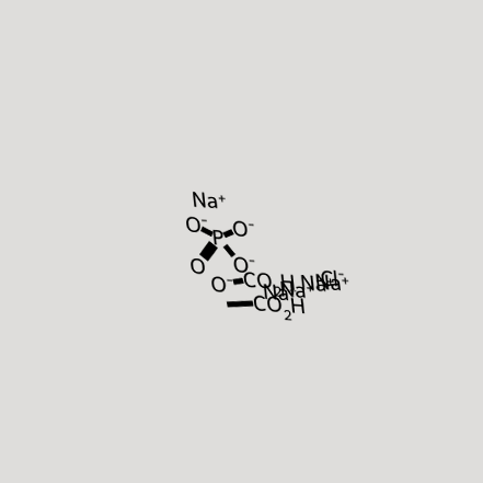 CC(=O)O.O=C([O-])O.O=P([O-])([O-])[O-].[Cl-].[Na+].[Na+].[Na+].[Na+].[Na+]